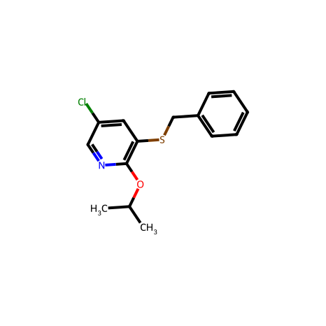 CC(C)Oc1ncc(Cl)cc1SCc1ccccc1